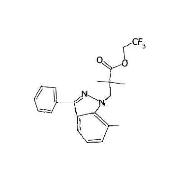 Cc1cccc2c(-c3ccccc3)nn(CC(C)(C)C(=O)OCC(F)(F)F)c12